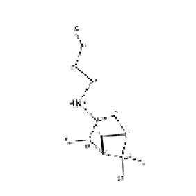 CCCCNC1CC2CC(C1C)C2(C)C